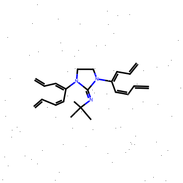 C=C/C=C\C(=C/C=C)N1CCN(C(/C=C\C=C)=C/C=C)C1=NC(C)(C)C